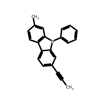 CC#Cc1ccc2c3ccc(C)cc3n(-c3ccccc3)c2c1